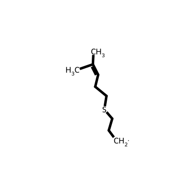 [CH2]CCSCCC=C(C)C